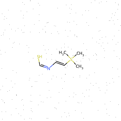 CS(C)(C)/C=C/N=C\S